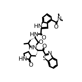 CC(C)C[C@H](NC(=O)c1cc2c(C(=O)N(C)C)cccc2[nH]1)C(=O)N[C@@H](CC1CCNC1=O)C(=O)c1nc2ccccc2s1